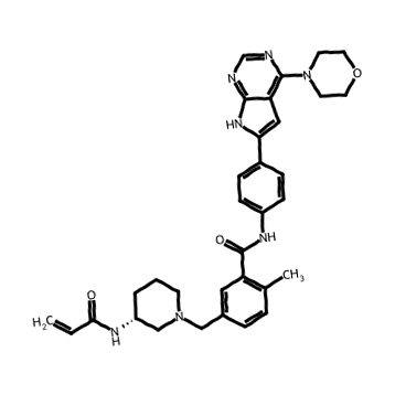 C=CC(=O)N[C@@H]1CCCN(Cc2ccc(C)c(C(=O)Nc3ccc(-c4cc5c(N6CCOCC6)ncnc5[nH]4)cc3)c2)C1